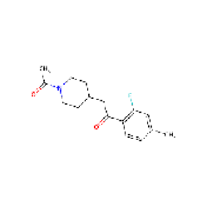 CC(=O)N1CCC(CC(=O)c2ccc(C)cc2F)CC1